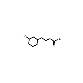 CCCC(=O)OCCC1CCCC(C)C1